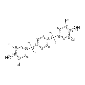 CC(C)(c1ccc(C(C)(C)c2cc(I)c(O)c(I)c2)cc1)c1cc(I)c(O)c(I)c1